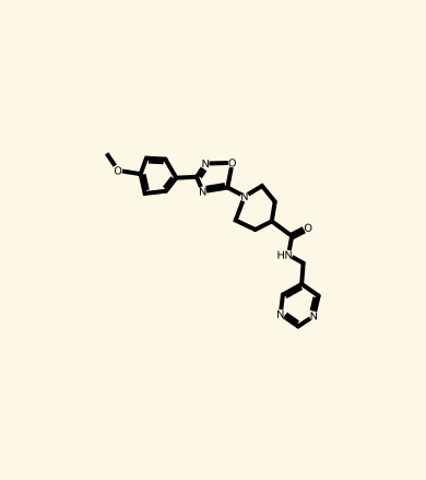 COc1ccc(-c2noc(N3CCC(C(=O)NCc4cncnc4)CC3)n2)cc1